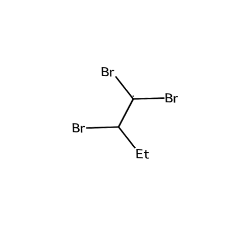 [CH2]CC(Br)[C](Br)Br